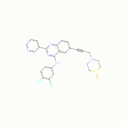 [O-][S+]1CCN(CC#Cc2ccc3nc(-c4cccnc4)nc(Nc4ccc(F)c(Cl)c4)c3c2)CC1